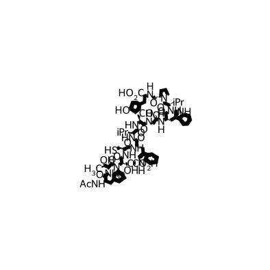 CC(=O)N[C@@H](Cc1ccc(O)cc1)C(=O)N[C@H](C(=O)N[C@@H](CCC(=O)O)C(=O)N[C@@H](CS)C(=O)N[C@@H](Cc1c[nH]c2ccccc12)C(=O)N[C@H](C(=O)N[C@@H](CC(=O)O)C(=O)NCC(=O)N[C@@H](Cc1c[nH]c2ccccc12)C(=O)N[C@H](C(=O)N1CCC[C@H]1C(=O)N[C@@H](Cc1ccc(O)cc1)C(=O)O)C(C)C)C(C)C)[C@@H](C)O